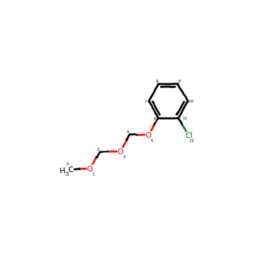 COCOCOc1ccccc1Cl